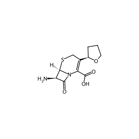 N[C@@H]1C(=O)N2C(C(=O)O)=C([C@H]3CCCO3)CS[C@H]12